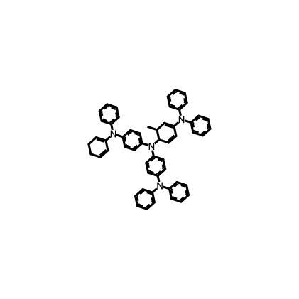 CC1C=C(N(c2ccccc2)c2ccccc2)C=CC1N(c1ccc(N(C2=CCCC=C2)c2ccccc2)cc1)c1ccc(N(c2ccccc2)c2ccccc2)cc1